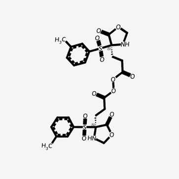 Cc1cccc(S(=O)(=O)[C@]2(CCC(=O)OOC(=O)CC[C@@]3(S(=O)(=O)c4cccc(C)c4)NCOC3=O)NCOC2=O)c1